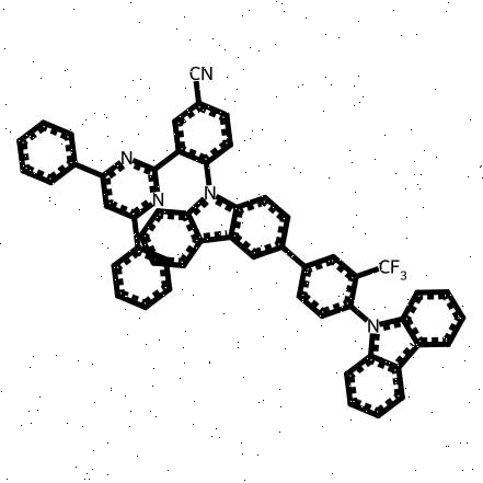 N#Cc1ccc(-n2c3ccccc3c3cc(-c4ccc(-n5c6ccccc6c6ccccc65)c(C(F)(F)F)c4)ccc32)c(-c2nc(-c3ccccc3)cc(-c3ccccc3)n2)c1